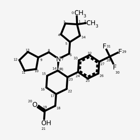 CC1(C)CCC(CN(CC2CCCC2)[C@@H]2CCC(CC(=O)O)CC2c2ccc(C(F)(F)F)cc2)C1